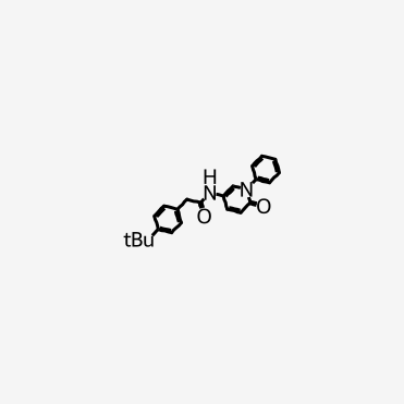 CC(C)(C)c1ccc(CC(=O)Nc2ccc(=O)n(-c3ccccc3)c2)cc1